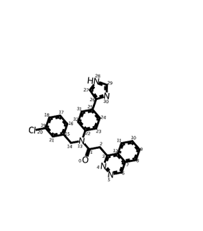 O=C(Cc1nncc2ccccc12)N(Cc1cccc(Cl)c1)c1ccc(-c2c[nH]cn2)cc1